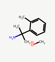 CO.Cc1ccccc1C(C)(C)N